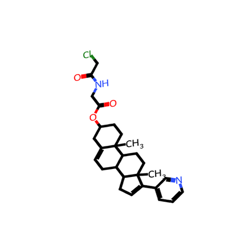 CC12CCC(OC(=O)CNC(=O)CCl)CC1=CCC1C2CCC2(C)C(c3cccnc3)=CCC12